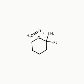 C=C.[SiH3][C]1([Pt])CCCCO1